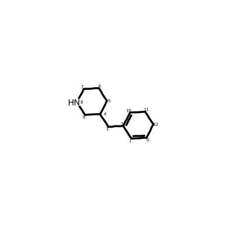 C1=CC(CC2CCCNC2)=CCC1